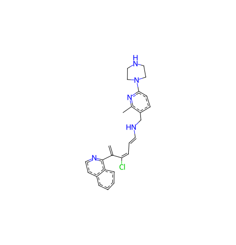 C=C(/C(Cl)=C\C=C\NCc1ccc(N2CCNCC2)nc1C)c1nccc2ccccc12